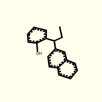 CCC(c1ccc2ccccc2c1)c1ccccc1O